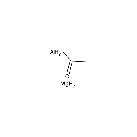 CC(C)=O.[AlH3].[MgH2]